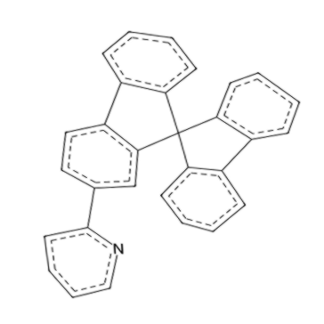 c1ccc(-c2ccc3c(c2)C2(c4ccccc4-c4ccccc42)c2ccccc2-3)nc1